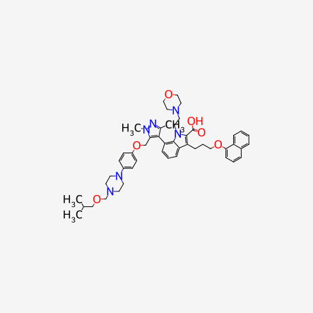 Cc1nn(C)c(COc2ccc(N3CCN(COCC(C)C)CC3)cc2)c1-c1cccc2c(CCCOc3cccc4ccccc34)c(C(=O)O)n(CCN3CCOCC3)c12